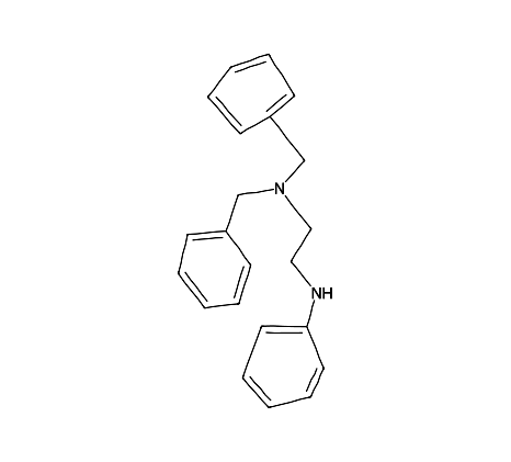 c1ccc(CN(CCNc2ccccc2)Cc2ccccc2)cc1